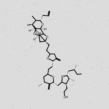 C=CC[C@@H]1O[C@H]2[C@H]3O[C@]4(CCC5CC(=C)[C@H](CCC6C[C@@H](C)C(=C)[C@@H](CC7O[C@H](C[C@H](C)CC)[C@H](C)[C@H]7CCO)O6)O5)C[C@H]3O[C@H]2[C@@H](O4)C1C